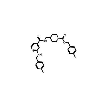 Cc1ccc(CNc2cc(C(=O)NCC3CCN(C(=O)OCc4ccc(C)cc4)CC3)ccn2)cc1